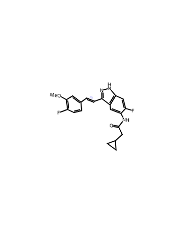 COc1cc(/C=C/c2n[nH]c3cc(F)c(NC(=O)CC4CC4)cc23)ccc1F